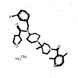 Cc1ccnc(C)c1C(=O)N1CCC(C)(N2CCC(N(Cc3cccc(F)c3)C(=O)C3CCOC3)CC2)CC1.Cl.Cl